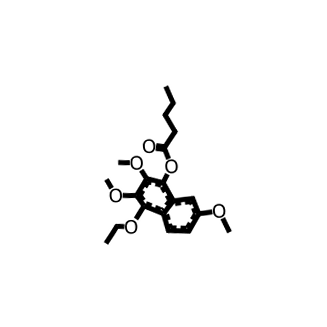 CCCCC(=O)Oc1c(OC)c(OC)c(OCC)c2ccc(OC)cc12